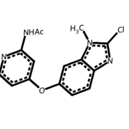 CC(=O)Nc1cc(Oc2ccc3nc(Cl)n(C)c3c2)ccn1